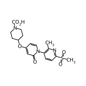 Cc1nc(S(C)(=O)=O)ccc1-n1ccc(OC2CCN(C(=O)O)CC2)cc1=O